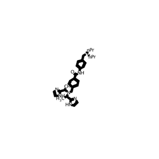 CCCN(CCC)Cc1ccc(NC(=O)c2ccc(CN(C(C)c3ncc[nH]3)C(C)c3ncc[nH]3)cc2)cc1